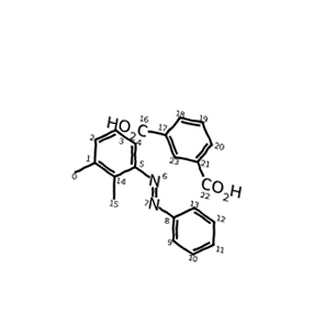 Cc1cccc(N=Nc2ccccc2)c1C.O=C(O)c1cccc(C(=O)O)c1